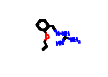 C=CCOc1ccccc1C=NNC(=N)N